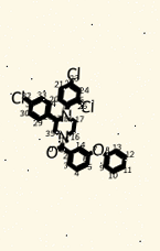 O=C(c1cccc(Oc2ccccc2)c1)N1CCN(c2ccc(Cl)cc2Cl)C(c2ccc(Cl)cc2)C1